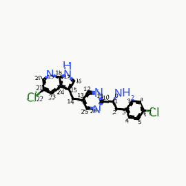 NC(Cc1ccc(Cl)cc1)c1ncc(Cc2c[nH]c3ncc(Cl)cc23)cn1